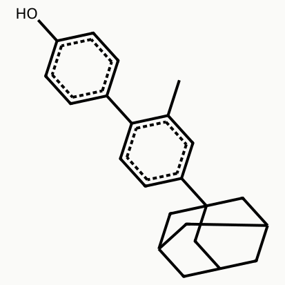 Cc1cc(C23CC4CC(CC(C4)C2)C3)ccc1-c1ccc(O)cc1